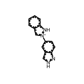 c1ccc2[nH][n+](-c3ccc4n[nH]cc4c3)cc2c1